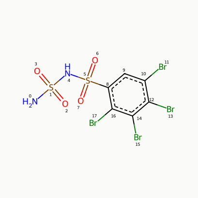 NS(=O)(=O)NS(=O)(=O)c1cc(Br)c(Br)c(Br)c1Br